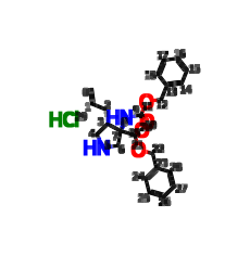 C=CC[C@H]1CNC[C@@]1(NC(=O)OCc1ccccc1)C(=O)OCc1ccccc1.Cl